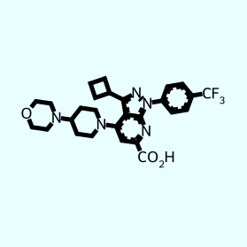 O=C(O)c1cc(N2CCC(N3CCOCC3)CC2)c2c(C3CCC3)nn(-c3ccc(C(F)(F)F)cc3)c2n1